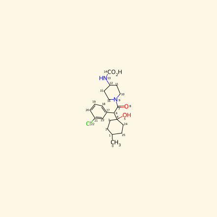 CC1CCC(O)(C(C(=O)N2CCC(NC(=O)O)CC2)c2cccc(Cl)c2)CC1